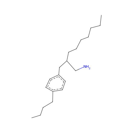 CCCCCCCC(CN)Cc1ccc(CCCC)cc1